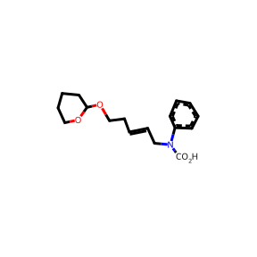 O=C(O)N(C/C=C/CCOC1CCCCO1)c1ccccc1